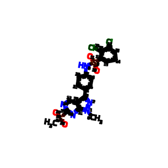 Cn1nc(-c2ccc(NS(=O)(=O)c3cccc(Cl)c3Cl)cc2)c2cnc(S(C)(=O)=O)nc21